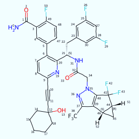 NC(=O)c1cc(-c2ccc(C#CC3(O)CCCCC3)nc2[C@H](Cc2cc(F)cc(F)c2)NC(=O)Cn2nc(C(F)(F)F)c3c2C(F)(F)[C@@H]2C[C@H]32)ccc1F